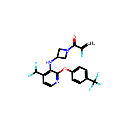 C=C(F)C(=O)N1CC(Nc2c(C(F)F)ccnc2Oc2ccc(C(F)(F)F)cc2)C1